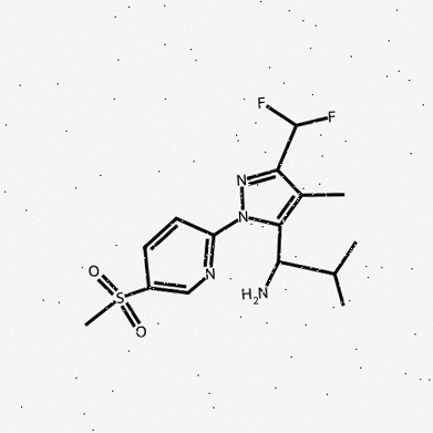 Cc1c(C(F)F)nn(-c2ccc(S(C)(=O)=O)cn2)c1C(N)C(C)C